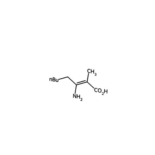 CCCCCC(N)=C(C)C(=O)O